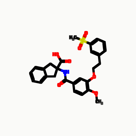 COc1ccc(C(=O)NC2(C(=O)O)Cc3ccccc3C2)cc1OCCc1cccc(S(C)(=O)=O)c1